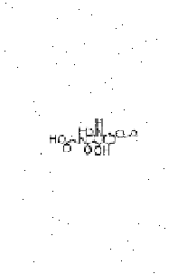 O=C(O)CCNC(=O)c1c(O)c2ccc(OCC3CC3)cc2[nH]c1=O